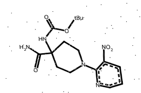 CC(C)(C)OC(=O)NC1(C(N)=O)CCN(c2ncccc2[N+](=O)[O-])CC1